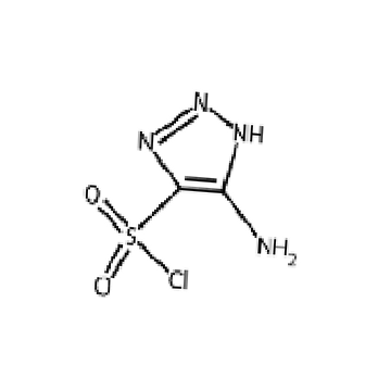 Nc1[nH]nnc1S(=O)(=O)Cl